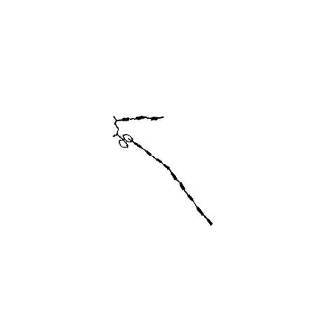 C#CC#CC#CC#CC#CC#CC#CC#CC#COC(=O)C(C)CCC(C)C#CC#CC#CC